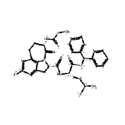 CC(C)(C)OC(=O)N[C@H]1CCc2cc(Br)cc3c2N(C1=O)[C@H](C(=O)N[C@@H](CCC(N)O)C(=O)NC(c1ccccc1)c1ccccc1)C3